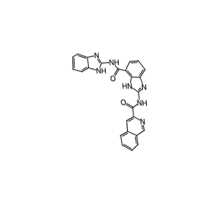 O=C(Nc1nc2cccc(C(=O)Nc3nc4ccccc4[nH]3)c2[nH]1)c1cc2ccccc2cn1